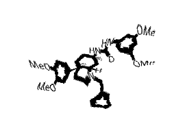 COc1cc(NC(=O)N[C@@H]2CC[C@@]3(c4ccc(OC)c(OC)c4)CCN(Cc4ccccc4)[C@H]3C2)cc(OC)c1